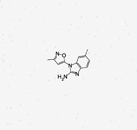 Cc1ccc2nc(N)n(-c3cc(C)no3)c2c1